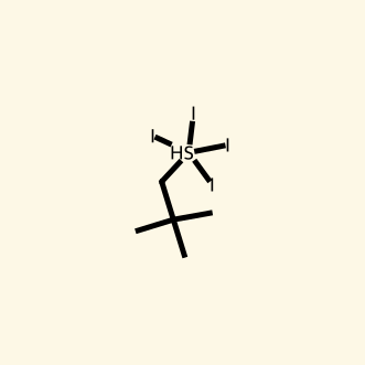 CC(C)(C)C[SH](I)(I)(I)I